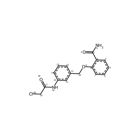 NC(=O)c1ccccc1OCc1cccc(NC(=O)CCl)c1